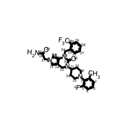 Cc1cccc(F)c1N1CCC(N2Cc3cn(CC(N)=O)nc3N(Cc3ccccc3C(F)(F)F)C2=O)CC1